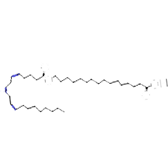 CCCCCCCC/C=C\C/C=C\C/C=C\CCCC(=O)OCCCCCCCCCCCCCCCC(=O)O